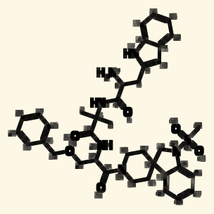 CC(C)(NC(=O)C(N)Cc1cc2ccccc2[nH]1)C(=O)NC(COCc1ccccc1)C(=O)N1CCC2(CC1)CN(S(C)(=O)=O)c1ccccc12